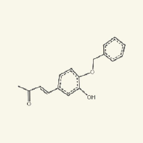 CC(=O)C=Cc1ccc(OCc2ccccc2)c(O)c1